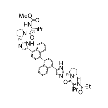 CCC(=O)N[C@H](C(=O)N1CCC[C@H]1c1ncc(-c2ccc(-c3ccc(-c4cnc([C@@H]5CCCN5C(=O)[C@@H](NC(=O)OC)C(C)C)[nH]4)c4ccccc34)c3ccccc23)[nH]1)C(C)C